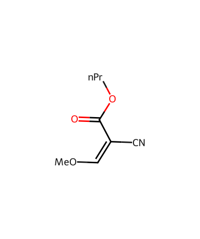 CCCOC(=O)/C(C#N)=C\OC